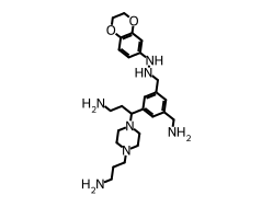 NCCCN1CCN(C(CCN)c2cc(CN)cc(CNNc3ccc4c(c3)OCCO4)c2)CC1